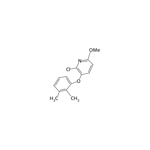 COc1ccc(Oc2cccc(C)c2C)c(Cl)n1